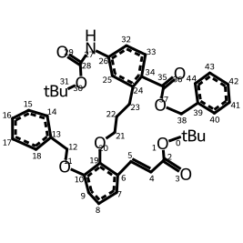 CC(C)(C)OC(=O)C=Cc1cccc(OCc2ccccc2)c1OCCCc1cc(NC(=O)OC(C)(C)C)ccc1C(=O)OCc1ccccc1